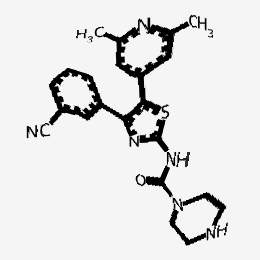 Cc1cc(-c2sc(NC(=O)N3CCNCC3)nc2-c2cccc(C#N)c2)cc(C)n1